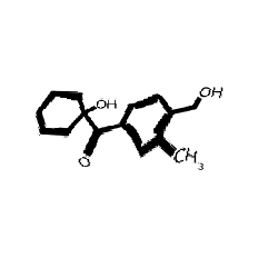 Cc1cc(C(=O)C2(O)CCCCC2)ccc1CO